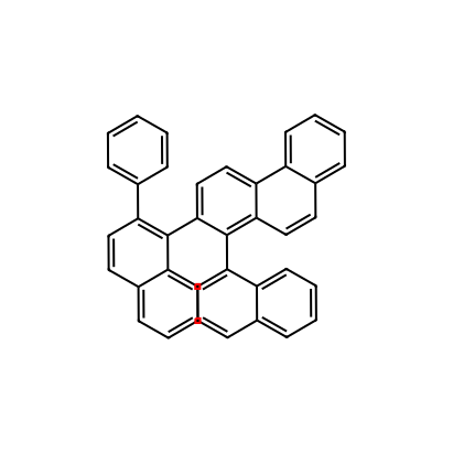 c1ccc(-c2ccc3ccccc3c2-c2ccc3c(ccc4ccccc43)c2-c2cccc3ccccc23)cc1